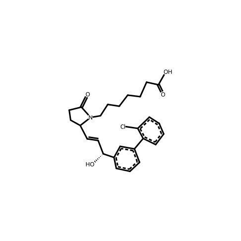 O=C(O)CCCCCCN1C(=O)CCC1C=C[C@@H](O)c1cccc(-c2ccccc2Cl)c1